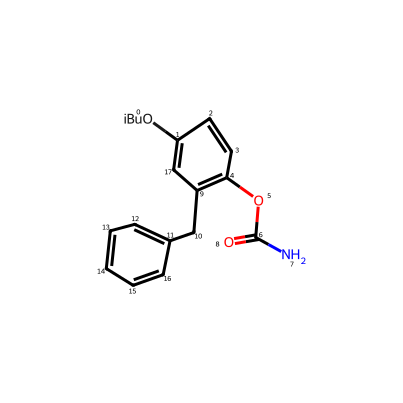 CC(C)COc1ccc(OC(N)=O)c(Cc2ccccc2)c1